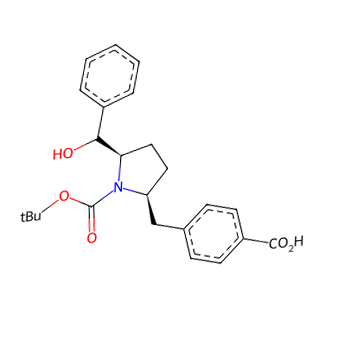 CC(C)(C)OC(=O)N1[C@H](Cc2ccc(C(=O)O)cc2)CC[C@@H]1C(O)c1ccccc1